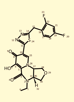 CCN1C(=O)c2c(O)c(=O)c(-c3nnc(Cc4ccc(F)cc4F)s3)cn2C2COC[C@@H]21